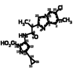 Cc1cc2nc(C(C)C(=O)Nc3cc(C4CC4)nn3C(=O)O)cn2cc1Cl